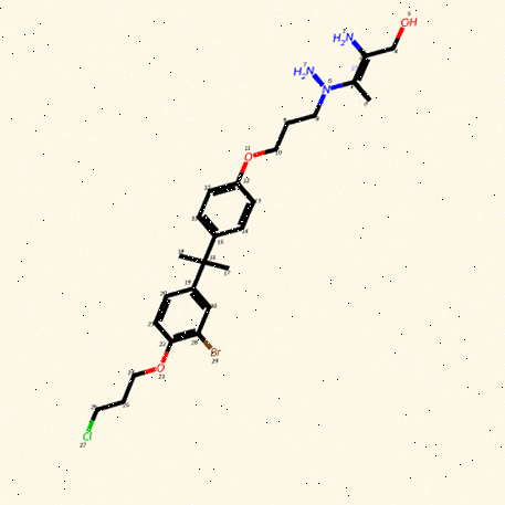 C/C(=C(/N)CO)N(N)CCCOc1ccc(C(C)(C)c2ccc(OCCCCl)c(Br)c2)cc1